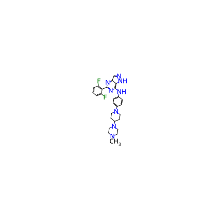 CN1CCN(C2CCN(c3ccc(Nc4nc(-c5c(F)cccc5F)nc5cn[nH]c45)cc3)CC2)CC1